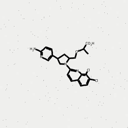 CC(OCC1CC(c2ccc(N)nc2)CN1c1ccc2ccc(Cl)c(Cl)c2n1)C(=O)O